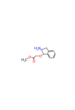 COC(=O)COC1c2ccccc2CC1N